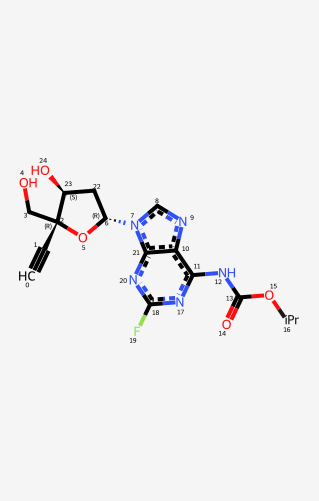 C#C[C@]1(CO)O[C@@H](n2cnc3c(NC(=O)OC([CH2])[CH2])nc(F)nc32)C[C@@H]1O